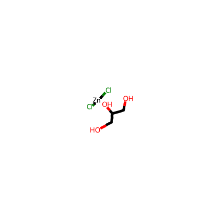 OCC(O)CO.[Cl][Zn][Cl]